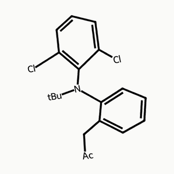 CC(=O)Cc1ccccc1N(c1c(Cl)cccc1Cl)C(C)(C)C